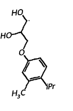 Cc1cc(OCC(O)[CH]O)ccc1C(C)C